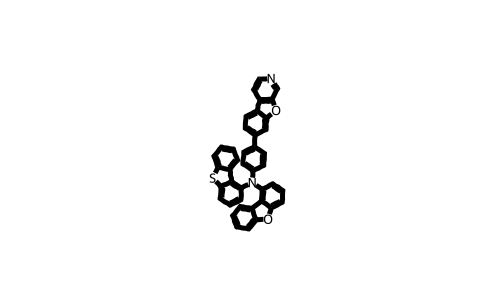 c1ccc2c(c1)oc1cccc(N(c3ccc(-c4ccc5c(c4)oc4cnccc45)cc3)c3cccc4sc5ccccc5c34)c12